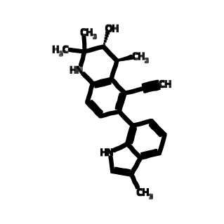 C#Cc1c(-c2cccc3c(C)c[nH]c23)ccc2c1[C@H](C)[C@@H](O)C(C)(C)N2